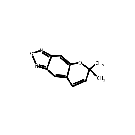 CC1(C)C=Cc2cc3nonc3cc2O1